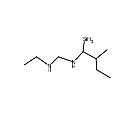 CCNCNC([SiH3])C(C)CC